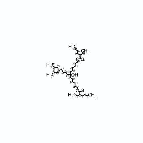 CCCCC(CC)C(=O)OCCCCCCC(O)(CCCCCCOC(=O)C(CC)CCCC)CCCCN(CCC)CCC